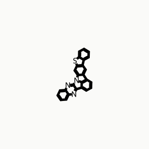 c1ccc2nc3c(nc2c1)c1cccc2c4cc5c(cc4n3c21)sc1ccccc15